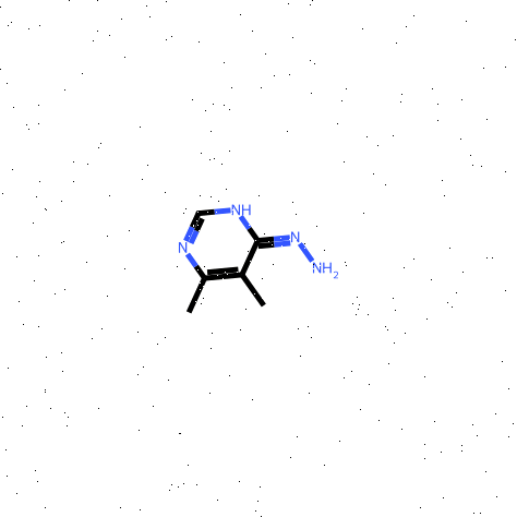 Cc1nc[nH]/c(=N/N)c1C